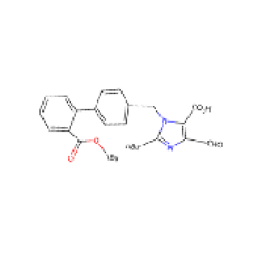 CCCCc1nc(C=O)c(C(=O)O)n1Cc1ccc(-c2ccccc2C(=O)OC(C)(C)C)cc1